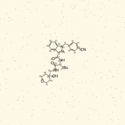 CC(C)(C)C(NC(=O)c1nn(Cc2ccc(C#N)cc2)c2ccccc12)C(=O)NCC1(O)CCOCC1